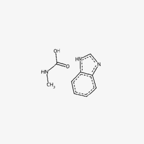 CNC(=O)O.c1ccc2[nH]cnc2c1